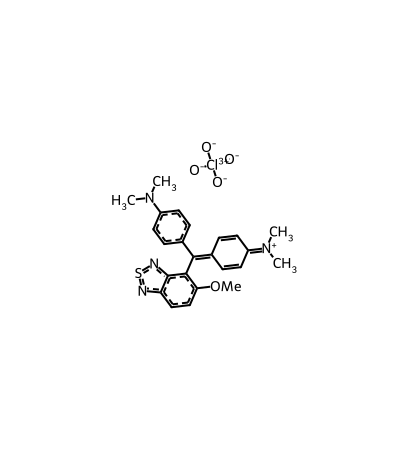 COc1ccc2nsnc2c1C(=C1C=CC(=[N+](C)C)C=C1)c1ccc(N(C)C)cc1.[O-][Cl+3]([O-])([O-])[O-]